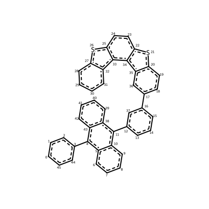 c1ccc(-c2c3ccccc3c(-c3cccc(-c4ccc5sc6ccc7sc8ccccc8c7c6c5c4)c3)c3ccccc23)cc1